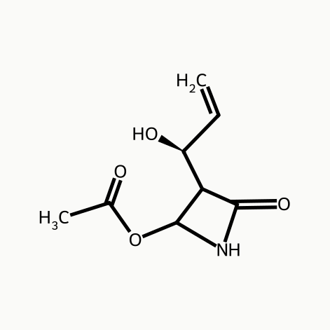 C=C[C@H](O)C1C(=O)NC1OC(C)=O